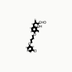 Cc1c(OCCCCOc2cncc(Cl)c2)ccc(CC(C)CC=O)c1O